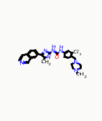 CC1N=C(NC(=O)Nc2ccc(CN3CCN(C)CC3)c(C(F)(F)F)c2)N=C1c1ccc2ccncc2c1